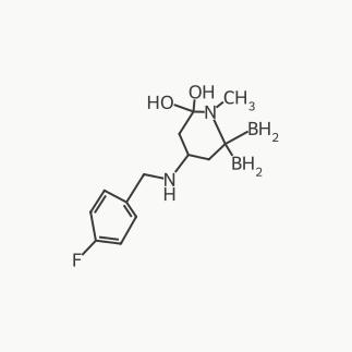 BC1(B)CC(NCc2ccc(F)cc2)CC(O)(O)N1C